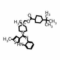 Cc1cc2c(s1)Nc1ccccc1N=C2N1CC[N+](C)(COC(=O)C2CCC(C(C)(C)C)CC2)CC1